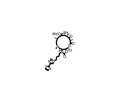 B[C@@H]1[C@@H](C)C(=O)[C@@H](C)C(=O)O[C@H](CC)[C@@]2(C)OC(=O)N(CCCCn3cc(-c4nccs4)nn3)[C@@H]2[C@H](C)N(C)CC[C@@H](C)C[C@@]1(C)OC